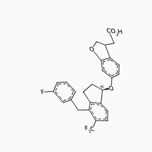 O=C(O)CC1COc2cc(O[C@@H]3CCc4c3ccc(C(F)(F)F)c4Cc3cccc(F)c3)ccc21